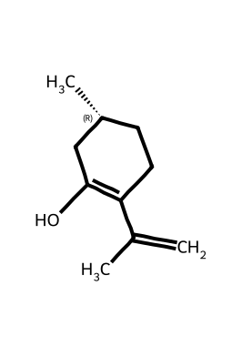 C=C(C)C1=C(O)C[C@H](C)CC1